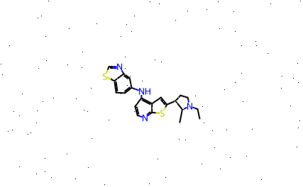 CCN1CCC(c2cc3c(Nc4ccc5scnc5c4)ccnc3s2)C1C